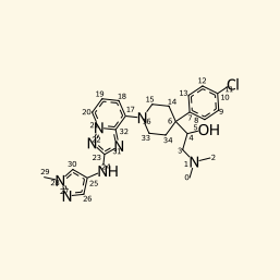 CN(C)CC(O)C1(c2ccc(Cl)cc2)CCN(c2cccn3nc(Nc4cnn(C)c4)nc23)CC1